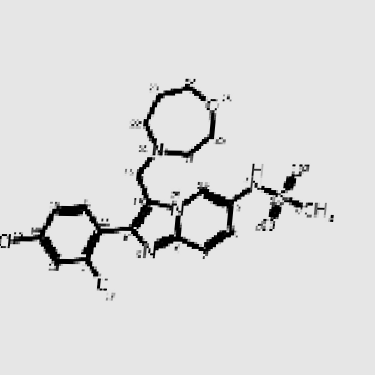 CS(=O)(=O)Nc1ccc2nc(-c3ccc(Cl)cc3Cl)c(CN3CCCOCC3)n2c1